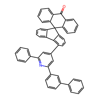 O=C1c2ccccc2C2(c3ccccc31)c1ccccc1-c1c(-c3cc(-c4ccccc4)nc(-c4cccc(-c5ccccc5)c4)c3)cccc12